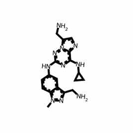 Cn1nc(CN)c2cc(Nc3nc(NC4CC4)c4ncc(CN)n4n3)ccc21